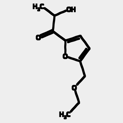 CCOCc1ccc(C(=O)C(C)O)o1